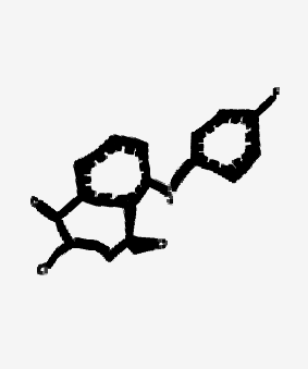 O=C1C(Cl)=CC(=O)c2c(Sc3ccc(F)cc3)cccc21